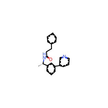 C[C@H](NC(=O)CCc1ccccc1)c1cccc(-c2cccnc2)c1